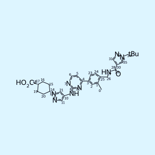 Cc1cc(-c2ccnc(Nc3cnn([C@H]4CC[C@H](C(=O)O)CC4)c3)n2)ccc1CNC(=O)c1cnn(C(C)(C)C)c1